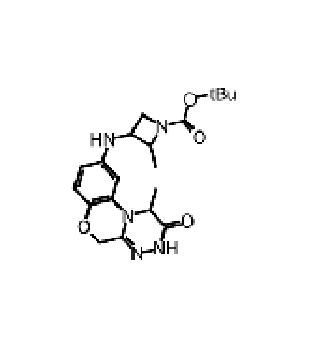 CC1C(Nc2ccc3c(c2)N2C(=NNC(=O)C2C)CO3)CN1C(=O)OC(C)(C)C